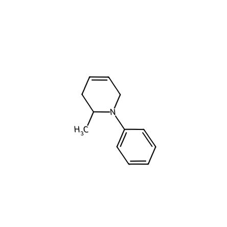 CC1CC=CCN1c1ccccc1